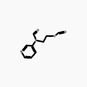 O=COCCN(C=O)c1cccnc1